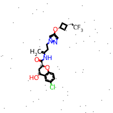 C=C(CCn1cc(O[C@H]2C[C@@H](CC(F)(F)F)C2)cn1)NC(=O)[C@@H]1C[C@@H](O)c2cc(Cl)ccc2O1